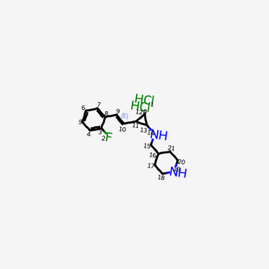 Cl.Cl.Fc1ccccc1/C=C/C1CC1NCC1CCNCC1